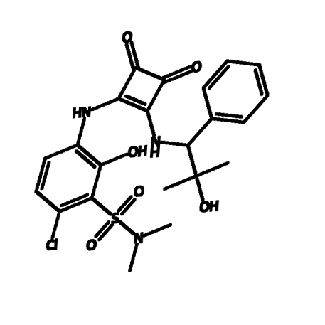 CN(C)S(=O)(=O)c1c(Cl)ccc(Nc2c(NC(c3ccccc3)C(C)(C)O)c(=O)c2=O)c1O